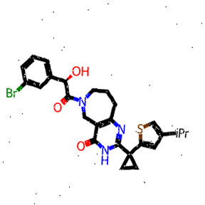 CC(C)c1csc(C2(c3nc4c(c(=O)[nH]3)CN(C(=O)[C@H](O)c3cccc(Br)c3)CCC4)CC2)c1